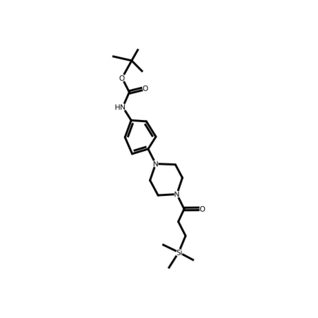 CC(C)(C)OC(=O)Nc1ccc(N2CCN(C(=O)CC[Si](C)(C)C)CC2)cc1